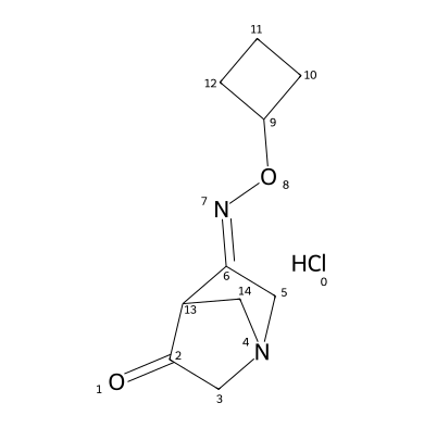 Cl.O=C1CN2CC(=NOC3CCC3)C1C2